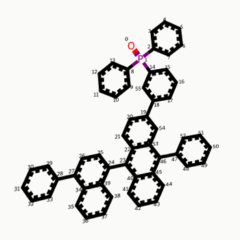 O=P(c1ccccc1)(c1ccccc1)c1cccc(-c2ccc3c(-c4ccc(-c5ccccc5)c5ccccc45)c4ccccc4c(-c4ccccc4)c3c2)c1